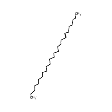 [CH2]CCCCCC=CCCCCCCCCCCCCCCCCC[CH2]